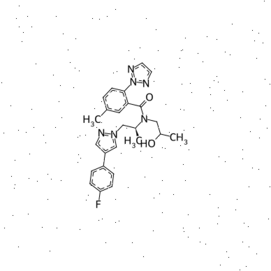 Cc1ccc(-n2nccn2)c(C(=O)N(CC(C)O)[C@@H](C)Cn2cc(-c3ccc(F)cc3)cn2)c1